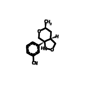 C[C@H]1C[C@H]2CON[C@@]2(c2cccc(C#N)c2)CO1